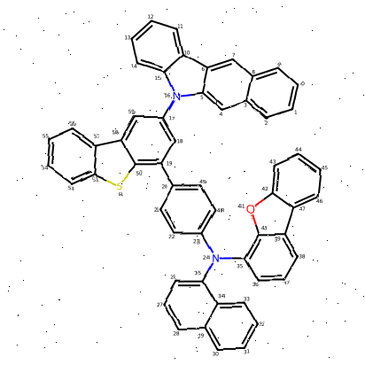 c1ccc2cc3c(cc2c1)c1ccccc1n3-c1cc(-c2ccc(N(c3cccc4ccccc34)c3cccc4c3oc3ccccc34)cc2)c2sc3ccccc3c2c1